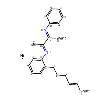 CCCCC/C=C/CCCc1ccccc1/N=C(CCCC)/C(CCCCC)=N/c1ccccc1.[Ni]